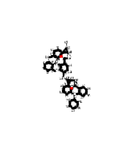 Cc1ccccc1P(c1ccccc1C)c1cc(C[C@@H]2C3N=C(c4ccccc4P(c4ccccc4)c4ccccc4)OC32)ccc1C1=NC2C(O1)[C@@H]2C